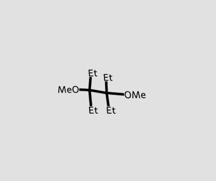 CCC(CC)(OC)C(CC)(CC)OC